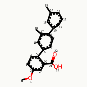 COc1ccc(-c2ccc(-c3cccc(C)c3)c(C)c2)c(C(=O)O)c1